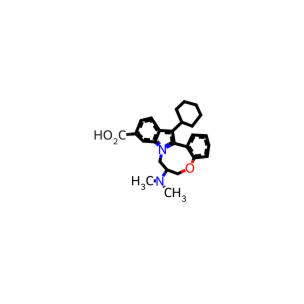 CN(C)C1COc2ccccc2-c2c(C3CCCCC3)c3ccc(C(=O)O)cc3n2C1